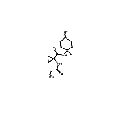 CC(C)N1CCC(C)(NC(=O)C2(NC(=O)OC(C)(C)C)CC2)CC1